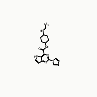 O=C(NC1CCC(NCC(F)(F)F)CC1)c1nc(-n2ccnc2)nc2cc[nH]c12